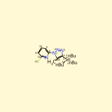 CCC[CH2][Sn]([CH2]CCC)([CH2]CCC)[c]1nnn(-c2cccc(F)n2)c1C